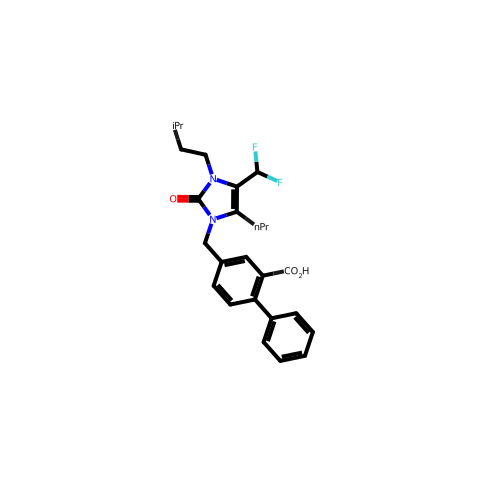 CCCc1c(C(F)F)n(CCC(C)C)c(=O)n1Cc1ccc(-c2ccccc2)c(C(=O)O)c1